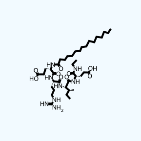 CCCCCCCCCCCCCCCC(=O)N[C@@H](CCC(=O)O)C(=O)N[C@@H](CCCNC(=N)N)C(=O)N[C@H](C(=O)N[C@@H](CCC(=O)O)C(=O)NCC)[C@@H](C)CC